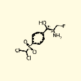 N[C@H](CF)[C@H](O)c1ccc(S(=O)(=O)C(Cl)Cl)cc1